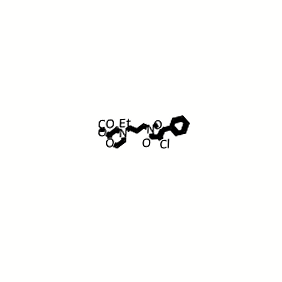 CCOC(=O)OC1CN(CCCn2oc(-c3ccccc3)c(Cl)c2=O)CCO1